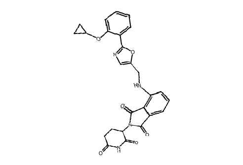 O=C1CCC(N2C(=O)c3cccc(NCc4cnc(-c5ccccc5OC5CC5)o4)c3C2=O)C(=O)N1